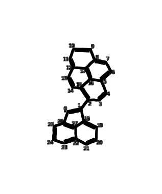 [C]1=C(c2ccc3ccc4cccc5ccc2c3c45)c2cccc3cccc1c23